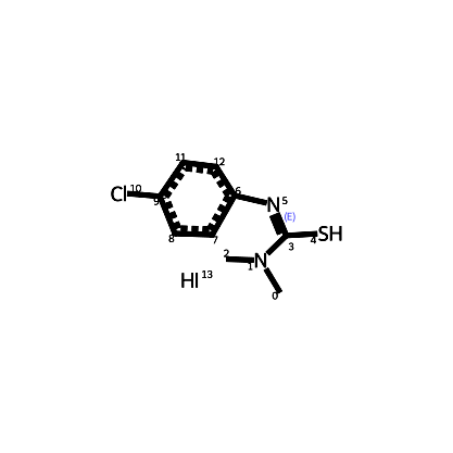 CN(C)/C(S)=N\c1ccc(Cl)cc1.I